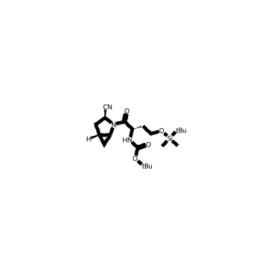 CC(C)(C)OC(=O)N[C@@H](CCO[Si](C)(C)C(C)(C)C)C(=O)N1C2C[C@@H]2C[C@H]1C#N